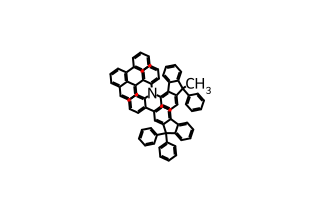 CC1(c2ccccc2)c2ccccc2-c2c(N(c3ccccc3-c3ccc4c(c3)C(c3ccccc3)(c3ccccc3)c3ccccc3-4)c3ccccc3-c3cccc4cccc(-c5ccccc5)c34)cccc21